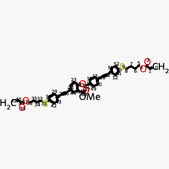 C=CC(=O)OCCCCSc1ccc(C#Cc2ccc(COc3ccc(C#Cc4ccc(SCCCCOC(=O)C=C)cc4)cc3C(=O)OC)cc2)cc1